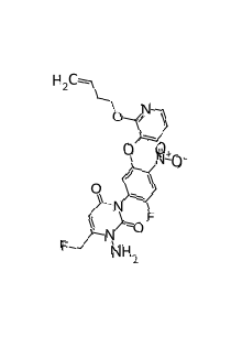 C=CCCOc1ncccc1Oc1cc(-n2c(=O)cc(CF)n(N)c2=O)c(F)cc1[N+](=O)[O-]